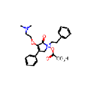 CN(C)CCOC1=C(c2ccccc2)C[N+](CCc2ccccc2)(OC(=O)C(=O)O)C1=O